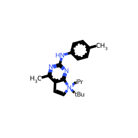 Cc1ccc(Nc2nc(C)c3c(n2)[N+](C(C)C)(C(C)(C)C)C=C3)cc1